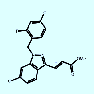 COC(=O)/C=C/c1nn(Cc2ccc(Cl)cc2F)c2cc(Cl)ccc12